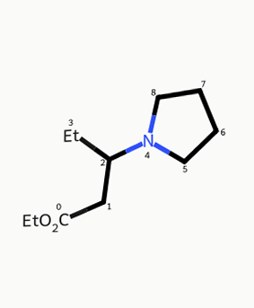 CCOC(=O)CC(CC)N1CCCC1